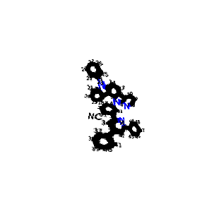 N#Cc1ccc(-n2c3ncccc3c3ccc4c(c5ccccc5n4-c4ccccc4)c32)cc1-c1cc(-c2ccccc2)cc(-c2ccccc2)n1